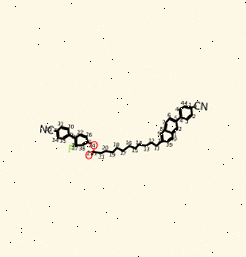 N#Cc1ccc(-c2ccc3cc(CCCCCCCCCCCC(=O)Oc4ccc(-c5ccc(C#N)cc5)c(F)c4)ccc3c2)cc1